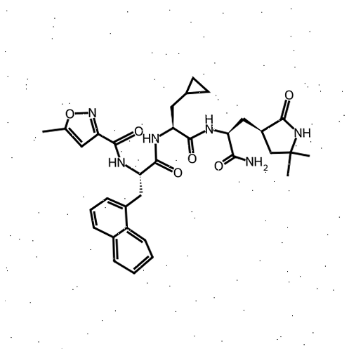 Cc1cc(C(=O)N[C@@H](Cc2cccc3ccccc23)C(=O)N[C@@H](CC2CC2)C(=O)N[C@@H](C[C@@H]2CC(C)(C)NC2=O)C(N)=O)no1